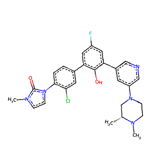 C[C@@H]1CN(c2cncc(-c3cc(F)cc(-c4ccc(-n5ccn(C)c5=O)c(Cl)c4)c3O)c2)CCN1C